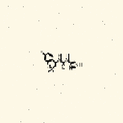 CC1(C)CC(NC(=O)Nc2c[nH]cn2)c2ccc(F)cc2O1